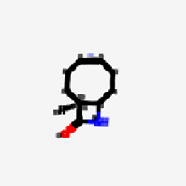 O=C1NC2CC/C=C\CC[C@H]12